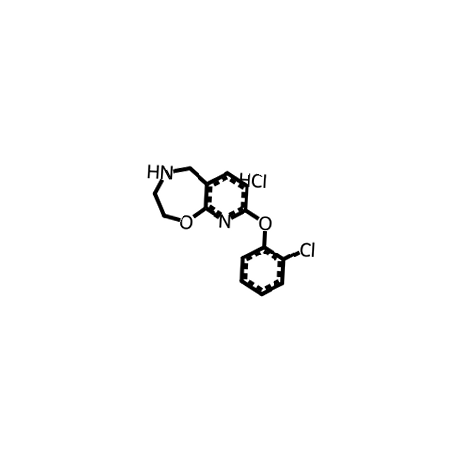 Cl.Clc1ccccc1Oc1ccc2c(n1)OCCNC2